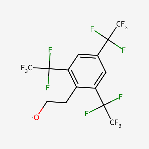 [O]CCc1c(C(F)(F)C(F)(F)F)cc(C(F)(F)C(F)(F)F)cc1C(F)(F)C(F)(F)F